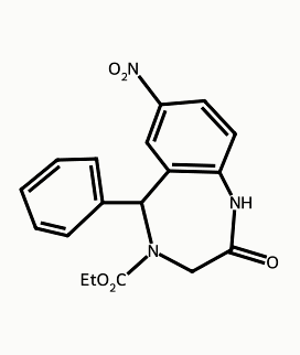 CCOC(=O)N1CC(=O)Nc2ccc([N+](=O)[O-])cc2C1c1ccccc1